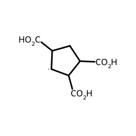 O=C(O)C1[CH]C(C(=O)O)C(C(=O)O)C1